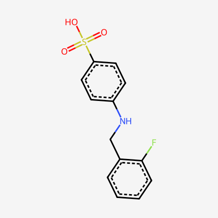 O=S(=O)(O)c1ccc(NCc2ccccc2F)cc1